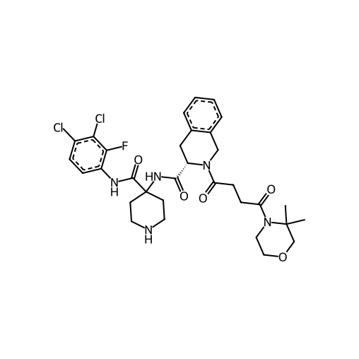 CC1(C)COCCN1C(=O)CCC(=O)N1Cc2ccccc2C[C@H]1C(=O)NC1(C(=O)Nc2ccc(Cl)c(Cl)c2F)CCNCC1